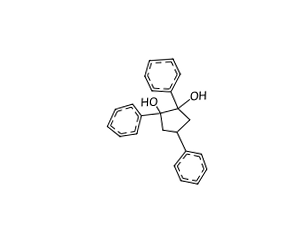 OC1(c2ccccc2)CC(c2ccccc2)CC1(O)c1ccccc1